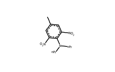 CCCN(CCC)c1c([N+](=O)[O-])cc(C)cc1[N+](=O)[O-]